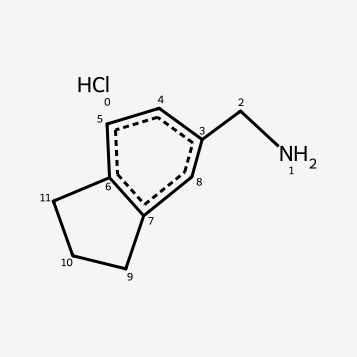 Cl.NCc1ccc2c(c1)CCC2